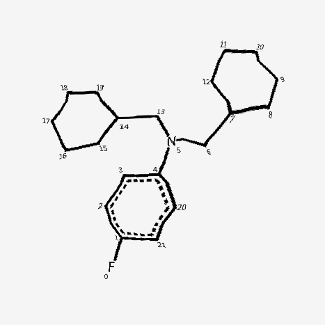 Fc1ccc(N(CC2CCCCC2)CC2CCCCC2)cc1